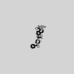 CNC(=O)c1nccc2c(O[C@@H](C)C(=O)N3CCN(C(=O)c4ccccc4)C[C@H]3C)cccc12